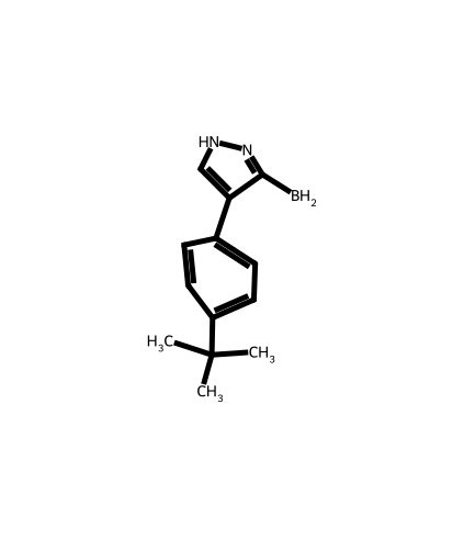 Bc1n[nH]cc1-c1ccc(C(C)(C)C)cc1